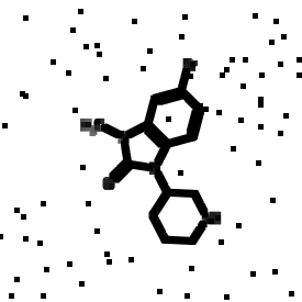 Cn1c(=O)n(C2CCCNC2)c2ccc(Br)cc21